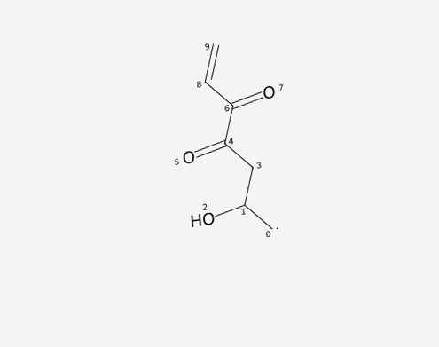 [CH2]C(O)CC(=O)C(=O)C=C